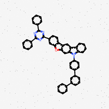 c1ccc(-c2cccc(-c3ccc(-n4c5ccccc5c5cc6c(cc54)oc4cc(-c5nc(-c7ccccc7)nc(-c7ccccc7)n5)ccc46)cc3)c2)cc1